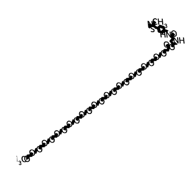 COCCOCCOCCOCCOCCOCCOCCOCCOCCOCCOCCOCCOCCOCCOCCOCCOCCOCCOCCOCCOCCOCCOCCC(=O)OC1CNC(C(=O)NCc2ccc(-c3scnc3C)cc2)C1